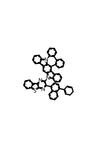 C1=CC(c2ccc(-c3nc4sc5ccccc5c4nc3-n3c4ccccc4c4c5c6c(cc43)c3ccccc3n6-c3ccccc3-c3ccccc3-5)c3ccccc23)=CCC1